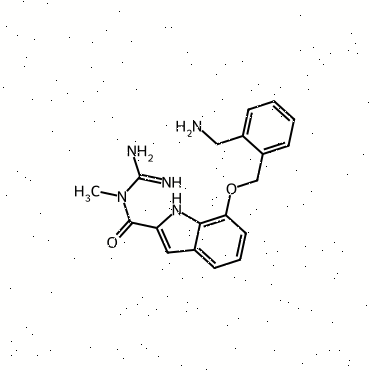 CN(C(=N)N)C(=O)c1cc2cccc(OCc3ccccc3CN)c2[nH]1